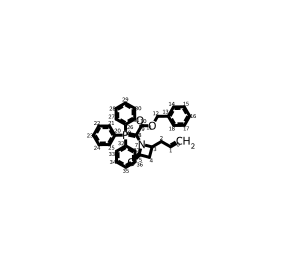 C=CCC1CC(=O)N1C(C(=O)OCc1ccccc1)=P(c1ccccc1)(c1ccccc1)c1ccccc1